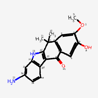 COc1cc2c(cc1O)C(=O)c1c([nH]c3cc(N)ccc13)C2(C)C